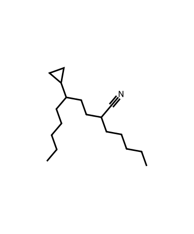 CCCCCC(C#N)CCC(CCCCC)C1CC1